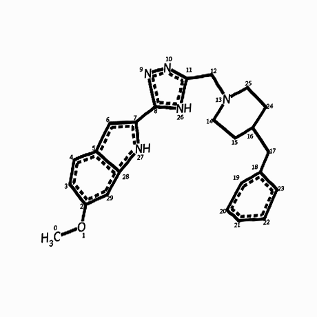 COc1ccc2cc(-c3nnc(CN4CCC(Cc5ccccc5)CC4)[nH]3)[nH]c2c1